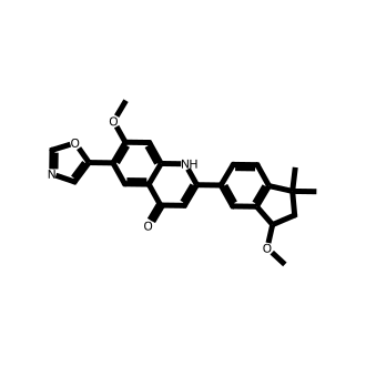 COc1cc2[nH]c(-c3ccc4c(c3)C(OC)CC4(C)C)cc(=O)c2cc1-c1cnco1